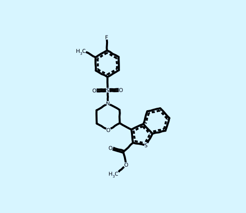 COC(=O)c1sc2ccccc2c1C1CN(S(=O)(=O)c2ccc(F)c(C)c2)CCO1